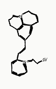 SCC[n+]1ccccc1/C=C/c1cc2c3c(c1)CCCN3CCC2